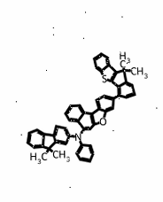 CC1(C)c2ccccc2-c2ccc(N(c3ccccc3)c3cc4oc5cc(-c6cccc7c6-c6sc8ccccc8c6C7(C)C)ccc5c4c4ccccc34)cc21